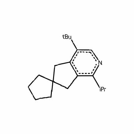 CC(C)c1ncc(C(C)(C)C)c2c1CC1(CCCC1)C2